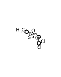 Cc1ccc(N2C(=O)C(=Cc3ccc(-c4ccc(Cl)cc4Cl)o3)SC2=S)cc1